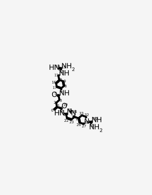 C=C(CCC(=O)Nc1ccc(CNC(=N)N)cc1)C(=O)Nc1ccc(C2=CCN(C(=N)N)CC2)nn1